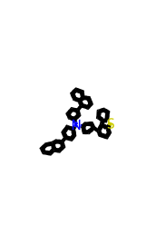 c1cc(-c2cccc3ccccc23)cc(N(c2ccc(-c3ccc4ccccc4c3)cc2)c2ccc(-c3cccc4sc5ccccc5c34)cc2)c1